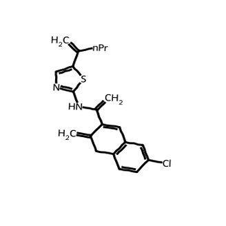 C=C1Cc2ccc(Cl)cc2C=C1C(=C)Nc1ncc(C(=C)CCC)s1